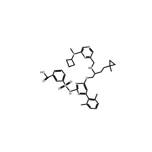 Cc1cccc(C)c1-c1cc(OCC(CCC2(C)CC2)NCc2cncc(N(C)C3CCC3)n2)nc(NS(=O)(=O)c2cccc(C(=O)O)c2)n1